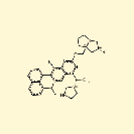 CN(c1nc(OC[C@@]23CCCN2C[C@H](F)C3)nc2c(F)c(-c3cccc4cccc(C(F)F)c34)ncc12)[C@@H]1CCNC1